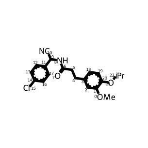 COc1cc(CCC(=O)NC(C#N)c2ccc(Cl)cc2)ccc1OC(C)C